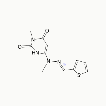 CN(/N=C/c1cccs1)c1cc(=O)n(C)c(=O)[nH]1